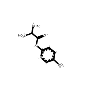 CC(=O)NC(C(=O)O)C(=O)Oc1ccc([N+](=O)[O-])cn1